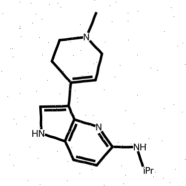 CC(C)Nc1ccc2[nH]cc(C3=CCN(C)CC3)c2n1